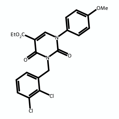 CCOC(=O)c1cn(-c2ccc(OC)cc2)c(=O)n(Cc2cccc(Cl)c2Cl)c1=O